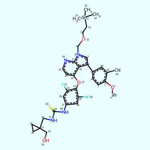 CC(C)Oc1ccc(-c2cn(COCC[Si](C)(C)C)c3nccc(Oc4c(F)cc(NC(=S)NCC5(CO)CC5)cc4F)c23)cc1C#N